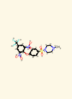 CN1CCN(S(=O)(=O)c2ccc(Oc3c([N+](=O)[O-])cc(C(F)(F)F)cc3[N+](=O)[O-])cc2)CC1